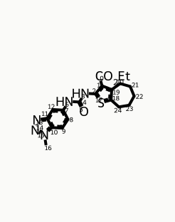 CCOC(=O)c1c(NC(=O)Nc2ccc3c(c2)nnn3C)sc2c1CCCCC2